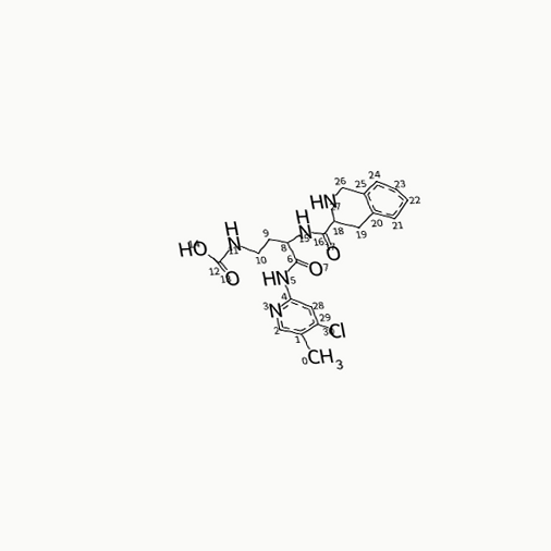 Cc1cnc(NC(=O)C(CCNC(=O)O)NC(=O)C2Cc3ccccc3CN2)cc1Cl